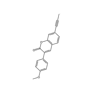 [CH2]C#Cc1ccc2cc(-c3ccc(OC)cc3)c(=O)oc2c1